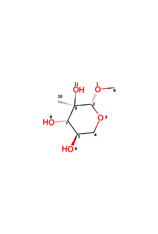 CO[C@@H]1OC[C@@H](O)[C@H](O)[C@@]1(C)O